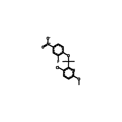 COc1ccc(Cl)c(C(C)(C)Oc2ccc([N+](=O)[O-])cc2F)n1